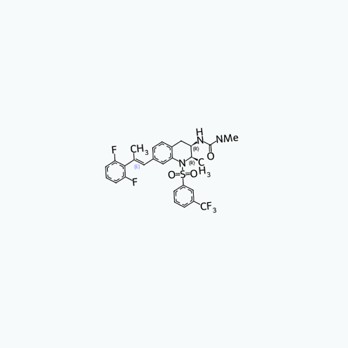 CNC(=O)N[C@@H]1Cc2ccc(/C=C(\C)c3c(F)cccc3F)cc2N(S(=O)(=O)c2cccc(C(F)(F)F)c2)[C@@H]1C